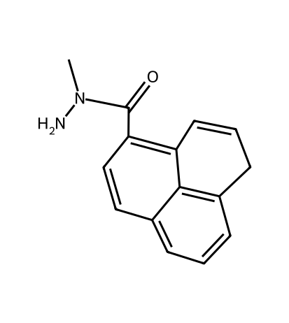 CN(N)C(=O)c1ccc2cccc3c2c1C=CC3